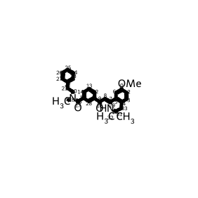 COc1ccc2c(c1)C(=CC(=O)c1cccc(C(=O)N(C)CCc3ccccc3)c1)NC(C)(C)C2